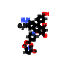 Nc1cc(-c2c3ccc(=O)cc-3oc3cc(O)ccc23)c(C(=O)N2CCC(C(=O)ON3C(=O)CCC3=O)CC2)cc1[N+](=O)[O-]